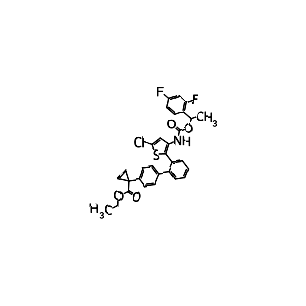 CCOC(=O)C1(c2ccc(-c3ccccc3-c3sc(Cl)cc3NC(=O)OC(C)c3ccc(F)cc3F)cc2)CC1